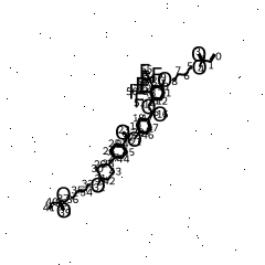 C=CC(=O)OCCCCOc1ccc(OC(=O)c2ccc(OC(=O)c3ccc(C4CCC(OCCCCOC(=O)C=C)CC4)cc3)cc2)c(C(F)(F)F)c1C(F)(F)F